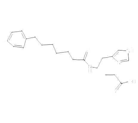 O=C(O)CC[C@@H](Cc1c[nH]cn1)NC(=O)CCCCCCc1ccccc1